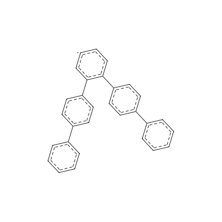 [c]1ccc(-c2ccc(-c3ccccc3)cc2)c(-c2ccc(-c3ccccc3)cc2)c1